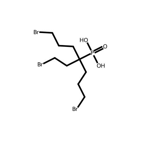 O=P(O)(O)C(CCBr)(CCCBr)CCCBr